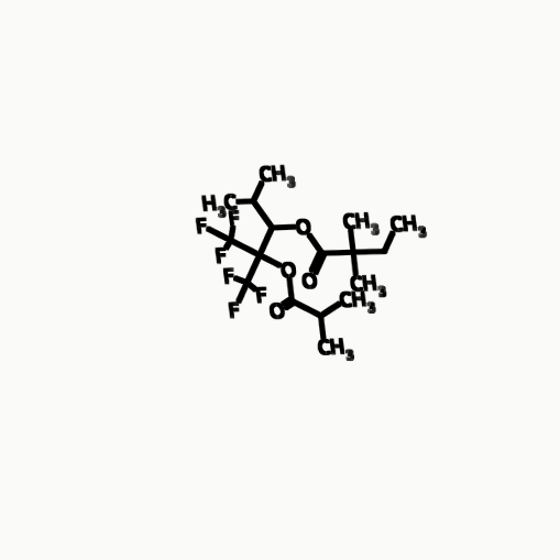 CCC(C)(C)C(=O)OC(C(C)C)C(OC(=O)C(C)C)(C(F)(F)F)C(F)(F)F